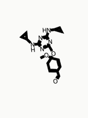 COC1(Oc2nc(NC3CC3)nc(NC3CC3)n2)C=CC(C=O)=CC1